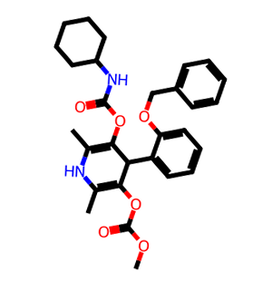 COC(=O)OC1=C(C)NC(C)=C(OC(=O)NC2CCCCC2)C1c1ccccc1OCc1ccccc1